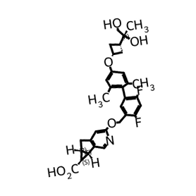 Cc1cc(O[C@H]2C[C@@H]([C@@](C)(O)CO)C2)cc(C)c1-c1cc(COc2cc3c(cn2)[C@H]2[C@@H](C3)[C@@H]2C(=O)O)c(F)cc1F